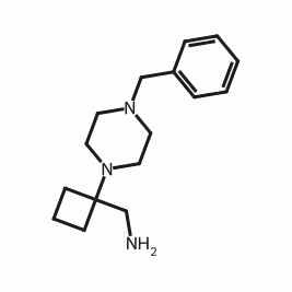 NCC1(N2CCN(Cc3ccccc3)CC2)CCC1